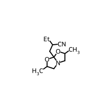 CCC(C#N)CC12OC(C)CN1CC(C)O2